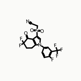 N#CCS(=O)(=O)c1cn(-c2ccc(F)c(C(F)(F)F)c2)c2c1C(=O)C(F)(F)CC2